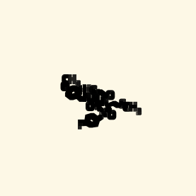 COc1ccc(CNC(=O)N2[C@H]3CN(Cc4ccc(F)cc4)C(=O)[C@H](CCSC)N3C(=O)CN2C)cc1